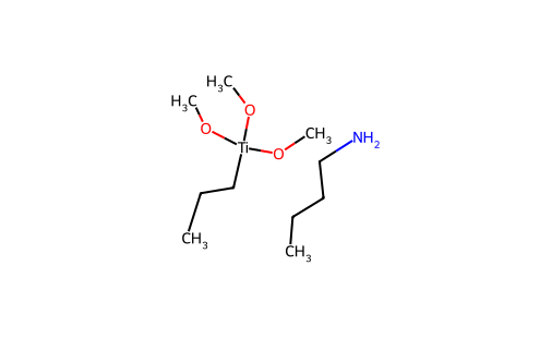 CCCCN.CC[CH2][Ti]([O]C)([O]C)[O]C